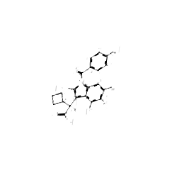 Cc1c([C@](C)(C(=O)O)C2CCC2)c2c(F)c(O)c(F)cc2n1C(=O)c1ccc(Cl)cc1